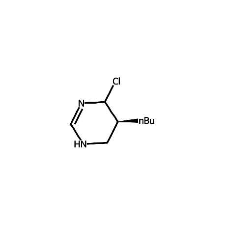 CCCC[C@H]1CNC=NC1Cl